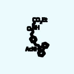 CCOC(=O)CCNC(=O)CCc1ccc(CCC2(NC(C)=O)c3ccccc3-c3ccccc32)cc1